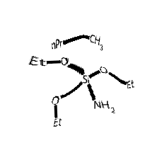 CCCC.CCO[Si](N)(OCC)OCC